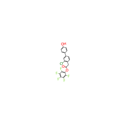 O=C(Cc1ccc(-c2ccc(O)cc2)cc1Cl)Oc1c(F)c(F)c(F)c(F)c1F